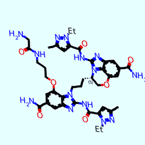 CCn1nc(C)cc1C(=O)Nc1nc2cc(C(N)=O)cc(OCCCNC(=O)CN)c2n1CCC[C@H]1COc2cc(C(N)=O)cc3nc(NC(=O)c4cc(C)nn4CC)n1c23